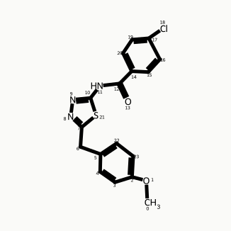 COc1ccc(Cc2nnc(NC(=O)c3ccc(Cl)cc3)s2)cc1